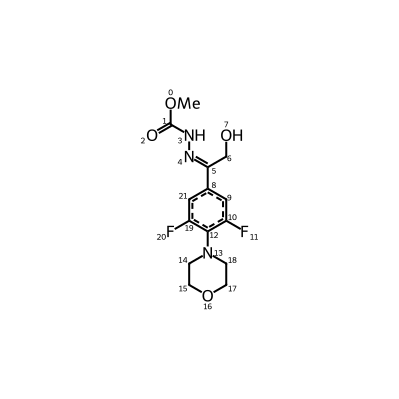 COC(=O)NN=C(CO)c1cc(F)c(N2CCOCC2)c(F)c1